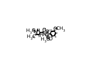 COc1ccc(OC)c(S(=O)(=O)NC(=O)c2cc(C)n(C)n2)c1